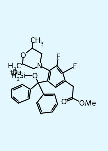 COC(=O)Cc1cc(C(O[SiH2]C(C)(C)C)(c2ccccc2)c2ccccc2)c(N2CC(C)OC(C)C2)c(F)c1F